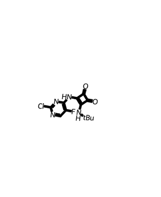 CC(C)(C)Nc1c(Nc2nc(Cl)ncc2F)c(=O)c1=O